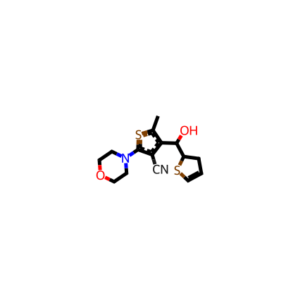 Cc1sc(N2CCOCC2)c(C#N)c1C(O)C1CC=CS1